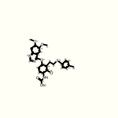 COc1cc2ncnc(Oc3ccc(NC(=O)O)c(Cl)c3CCSc3ccc(C)cc3)c2cc1OC